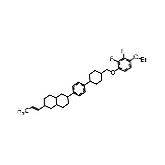 C/C=C/C1CCC2CC(c3ccc(C4CCC(COc5ccc(OCC)c(F)c5F)CC4)cc3)CCC2C1